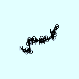 COc1ccc(C2=CN3C(=O)c4cc(OC)c(OCCCOc5cc6c(cc5OC)C(=O)N5C=C(c7ccc(NC(=O)C(C)NC(=O)[C@@H](NC(=O)CCCCCN8C(=O)C=C(Oc9ccc(C#N)cc9)C8=O)C(C)C)cc7)C[C@H]5C=N6)cc4N=C[C@@H]3C2)cc1